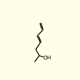 C=CC=CCC(C)O